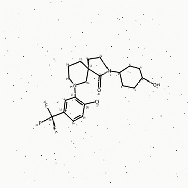 O=C1N(C2CCC(O)CC2)CC[C@@]12CCCN(c1cc(C(F)(F)F)ccc1Cl)C2